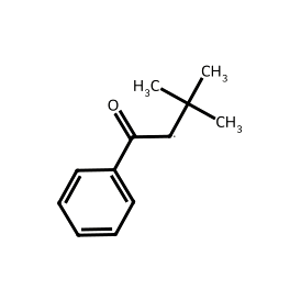 CC(C)(C)[CH]C(=O)c1ccccc1